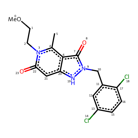 COCCn1c(C)c2c(=O)n(Cc3cc(Cl)ccc3Cl)[nH]c2cc1=O